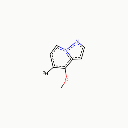 [2H]c1ccn2nccc2c1OC